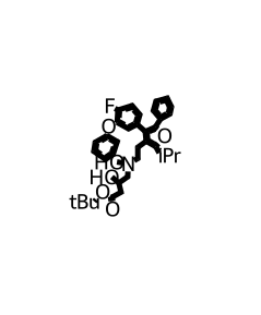 CC(C)c1oc(-c2ccccc2)c(-c2ccc(F)c(Oc3ccccc3)c2)c1CCN(O)CC(O)CC(=O)OC(C)(C)C